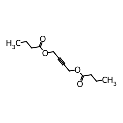 CCCC(=O)OCC#CCOC(=O)CCC